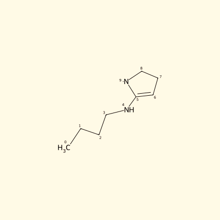 CCCCNC1=CCC[N]1